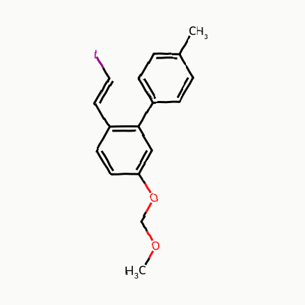 COCOc1ccc(C=CI)c(-c2ccc(C)cc2)c1